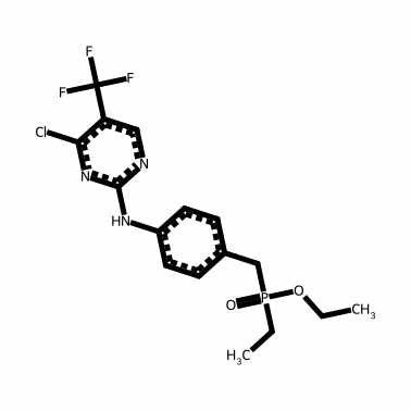 CCOP(=O)(CC)Cc1ccc(Nc2ncc(C(F)(F)F)c(Cl)n2)cc1